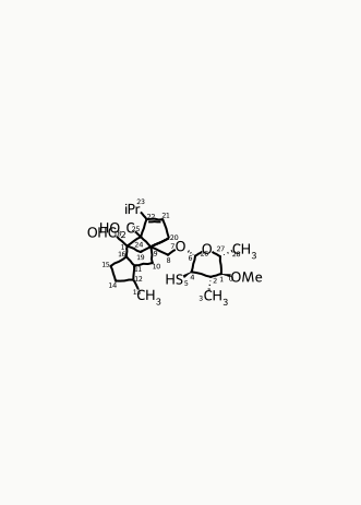 CO[C@H]1[C@H](C)[C@@H](S)[C@H](OCC23CC4C(C)CCC4C4(C=O)CC2C=C(C(C)C)C43C(=O)O)O[C@@H]1C